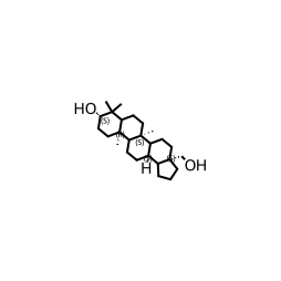 CC1(C)C2CC[C@@]3(C)C4CC[C@@]5(CO)CCCC5[C@H]4CCC3[C@@]2(C)CC[C@@H]1O